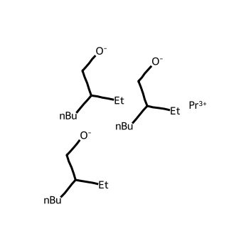 CCCCC(CC)C[O-].CCCCC(CC)C[O-].CCCCC(CC)C[O-].[Pr+3]